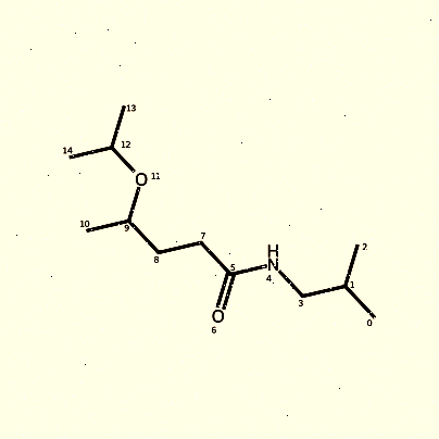 CC(C)CNC(=O)CCC(C)OC(C)C